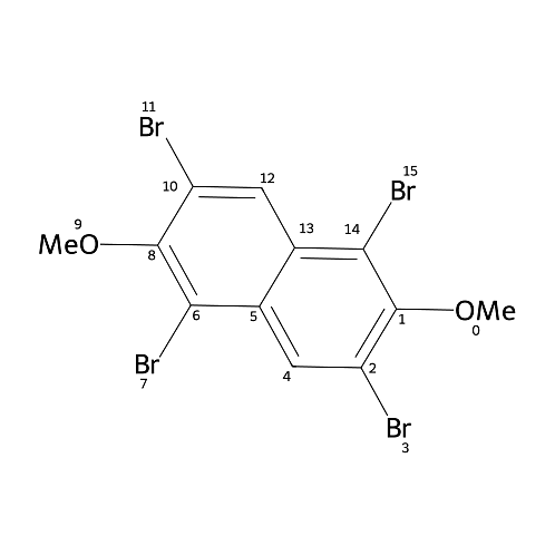 COc1c(Br)cc2c(Br)c(OC)c(Br)cc2c1Br